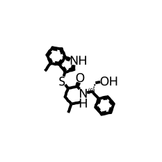 Cc1cccc2[nH]cc(SC(CC(C)C)C(=O)N[C@H](CO)c3ccccc3)c12